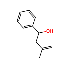 C=C(C)CC(O)c1ccccc1